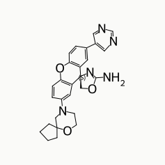 NC1=N[C@@]2(CO1)c1cc(-c3cncnc3)ccc1Oc1ccc(N3CCOC4(CCCC4)C3)cc12